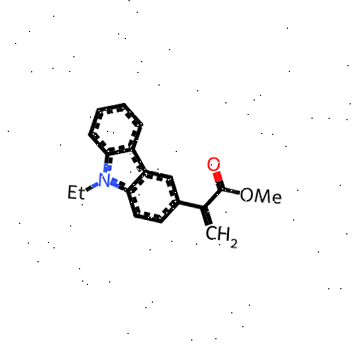 C=C(C(=O)OC)c1ccc2c(c1)c1ccccc1n2CC